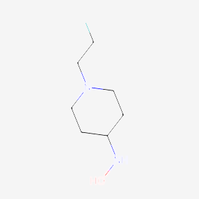 ONC1CCN(CCF)CC1